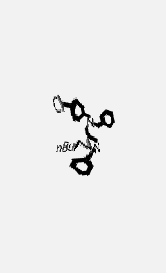 CCCCn1c(CN(Cc2ccccc2)Cc2ccc(Cl)cc2)cnc1-c1ccccc1